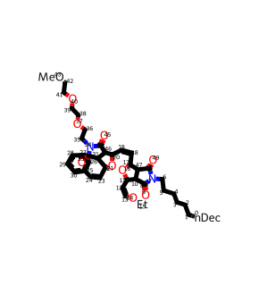 CCCCCCCCCCCCCCCCN1C(=O)C2C(/C=C\OCC)OC(/C=C\C3OC(/C=C\c4ccccc4)C4C(=O)N(CCOCCOCCOC)C(=O)C34)C2C1=O